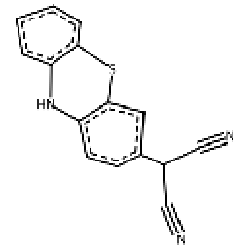 N#CC(C#N)c1ccc2c(c1)Sc1ccccc1N2